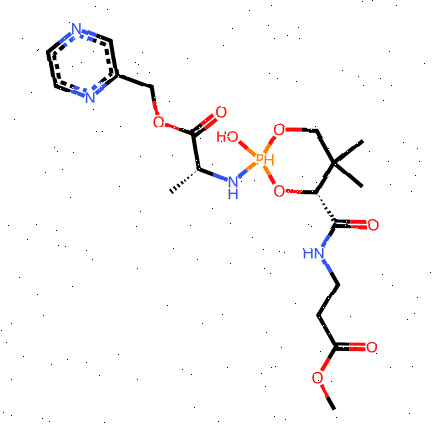 COC(=O)CCNC(=O)[C@@H]1O[PH](O)(N[C@H](C)C(=O)OCc2cnccn2)OCC1(C)C